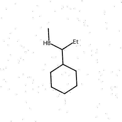 CBC(CC)C1CCCCC1